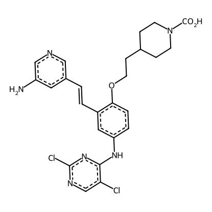 Nc1cncc(C=Cc2cc(Nc3nc(Cl)ncc3Cl)ccc2OCCC2CCN(C(=O)O)CC2)c1